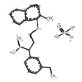 CCc1cccc(C(CCOc2c(C)ccc3ccccc23)N(C)C)c1.O=P(O)(O)O